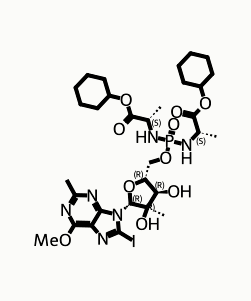 COc1nc(C)nc2c1nc(I)n2[C@@H]1O[C@H](COP(=O)(N[C@@H](C)C(=O)OC2CCCCC2)N[C@@H](C)C(=O)OC2CCCCC2)[C@@H](O)[C@@]1(C)O